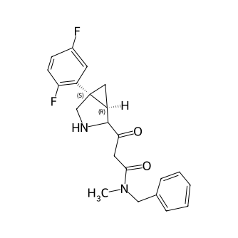 CN(Cc1ccccc1)C(=O)CC(=O)C1NC[C@@]2(c3cc(F)ccc3F)C[C@@H]12